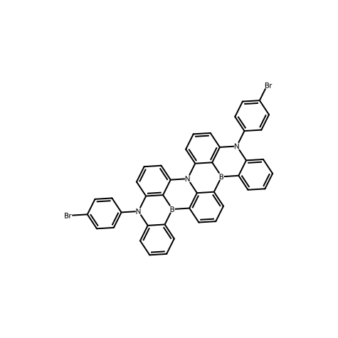 Brc1ccc(N2c3ccccc3B3c4cccc5c4N(c4cccc2c43)c2cccc3c2B5c2ccccc2N3c2ccc(Br)cc2)cc1